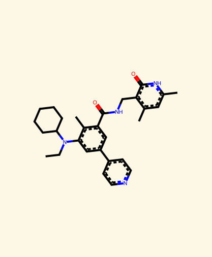 CCN(c1cc(-c2ccncc2)cc(C(=O)NCc2c(C)cc(C)[nH]c2=O)c1C)C1CCCCC1